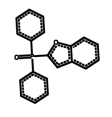 O=P(c1ccccc1)(c1ccccc1)c1cc2ccccc2o1